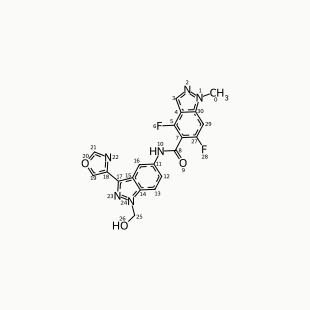 Cn1ncc2c(F)c(C(=O)Nc3ccc4c(c3)c(-c3cocn3)nn4CO)c(F)cc21